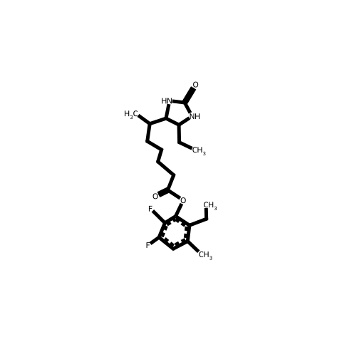 CCc1c(C)cc(F)c(F)c1OC(=O)CCCCC(C)C1NC(=O)NC1CC